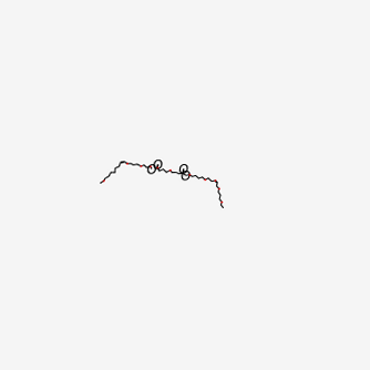 CCCCCCCC/C=C\CCCCCCCCOC(=O)CCCCCCCC(=O)OCCCCCCCC/C=C\CCCCCCCC